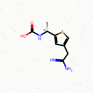 C[C@@H](NC(=O)O)c1cc(CC(=N)N)cs1